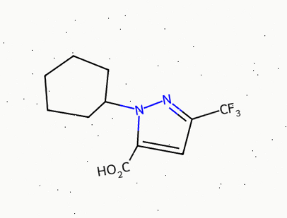 O=C(O)c1cc(C(F)(F)F)nn1C1CCCCC1